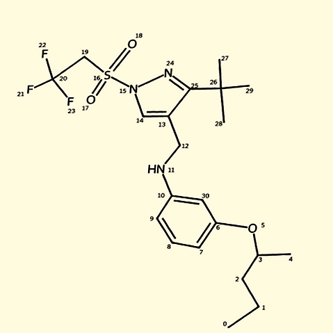 CCCC(C)Oc1cccc(NCc2cn(S(=O)(=O)CC(F)(F)F)nc2C(C)(C)C)c1